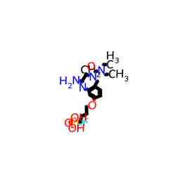 C=C1C(N)=Nc2cc(OCCCC(F)(F)P(=O)(O)O)ccc2CN1C(=O)N(CC)CC